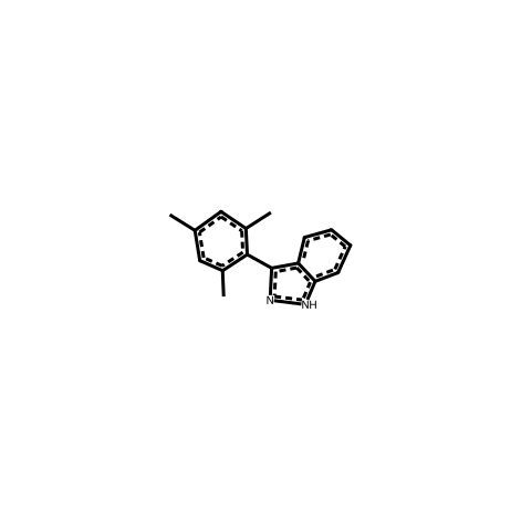 Cc1cc(C)c(-c2n[nH]c3ccccc23)c(C)c1